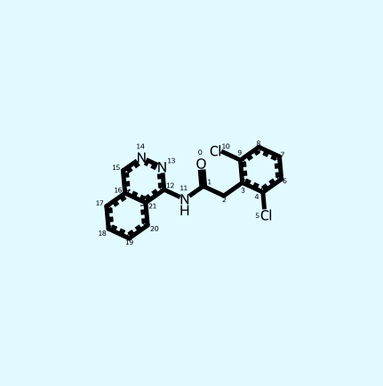 O=C(Cc1c(Cl)cccc1Cl)Nc1nncc2ccccc12